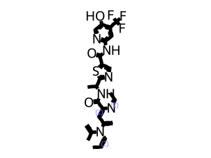 C=C(C)N(/C=C\C)C(=C)/C=C(\N=C/C)C(=O)NC(C)c1ncc(C(=O)Nc2cc(C(F)(F)F)c(O)cn2)s1